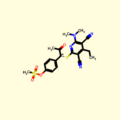 CCc1c(C#N)c(S[C@@H](C(C)=O)c2ccc(OS(C)(=O)=O)cc2)nc(N(C)C)c1C#N